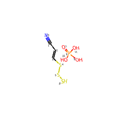 N#CC=CSSS.O=P(O)(O)O